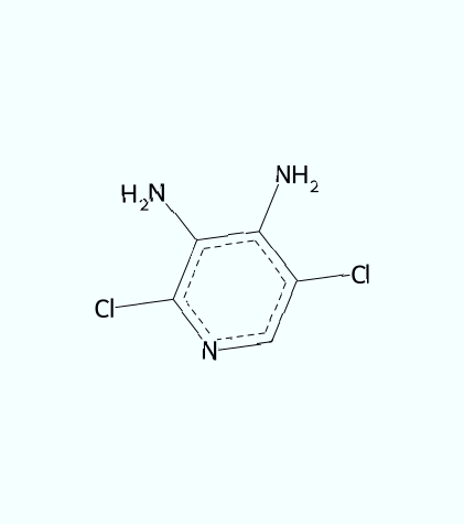 Nc1c(Cl)cnc(Cl)c1N